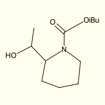 CC(C)COC(=O)N1CCCCC1C(C)O